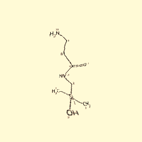 C[Si](C)(O)CNC(=O)CCN